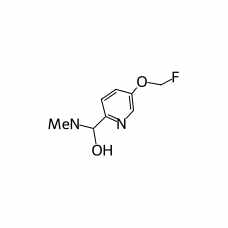 CNC(O)c1ccc(OCF)cn1